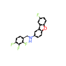 Fc1ccc2oc3ccc(NCc4ccc(F)c(F)c4F)cc3c2c1